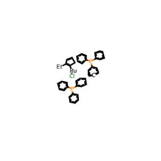 CCC1=[C]([Ru][Cl])CC=C1.c1ccc(P(c2ccccc2)c2ccccc2)cc1.c1ccc(P(c2ccccc2)c2ccccc2)cc1